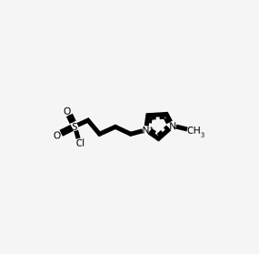 Cn1cc[n+](CCCCS(=O)(=O)Cl)c1